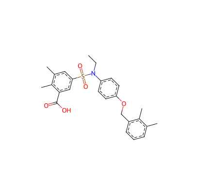 CCN(c1ccc(OCc2cccc(C)c2C)cc1)S(=O)(=O)c1cc(C)c(C)c(C(=O)O)c1